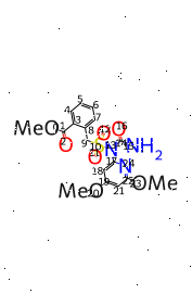 COC(=O)c1ccccc1CS(=O)(=O)N(C(N)=O)c1cc(OC)cc(OC)n1